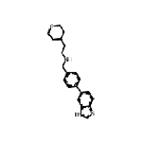 c1nc2ccc(-c3ccc(CNCCC4CCOCC4)cc3)cc2[nH]1